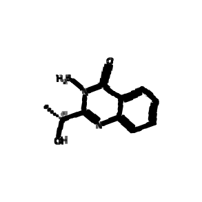 Bn1c([C@@H](C)O)nc2ccccc2c1=O